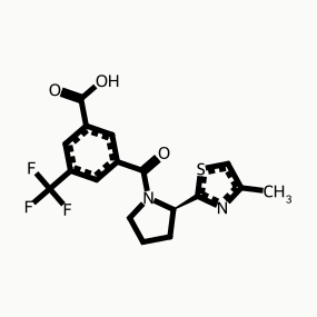 Cc1csc([C@H]2CCCN2C(=O)c2cc(C(=O)O)cc(C(F)(F)F)c2)n1